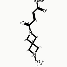 COC(=O)/C=C/C(=O)N1CC2(CN(C(=O)O)C2)C1